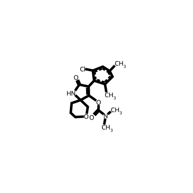 Cc1cc(C)c(C2=C(OC(=O)N(C)C)C3(CCCOC3)NC2=O)c(Cl)c1